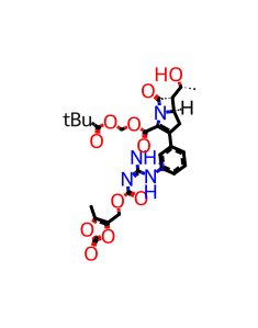 Cc1oc(=O)oc1COC(=O)/N=C(/N)Nc1cccc(C2=C(C(=O)OCOC(=O)C(C)(C)C)N3C(=O)[C@H]([C@@H](C)O)[C@H]3C2)c1